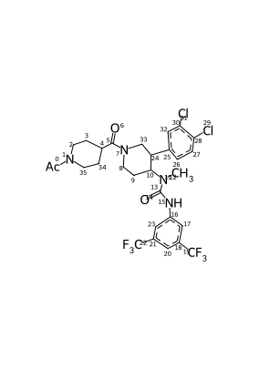 CC(=O)N1CCC(C(=O)N2CCC(N(C)C(=O)Nc3cc(C(F)(F)F)cc(C(F)(F)F)c3)C(c3ccc(Cl)c(Cl)c3)C2)CC1